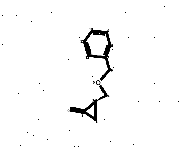 C=C1C[C@@H]1COCc1ccccc1